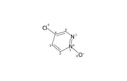 [O-][n+]1ccc(Cl)cn1